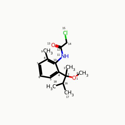 COC(C)(c1cccc(C)c1NC(=O)CCl)C(C)C